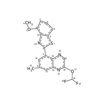 COc1cccc2sc(-c3cc(C)cc4nc(OC(F)F)cnc34)nc12